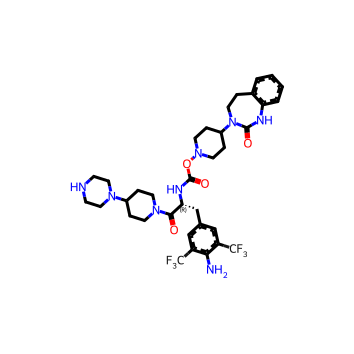 Nc1c(C(F)(F)F)cc(C[C@@H](NC(=O)ON2CCC(N3CCc4ccccc4NC3=O)CC2)C(=O)N2CCC(N3CCNCC3)CC2)cc1C(F)(F)F